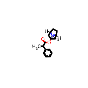 CC(C(=O)O[C@H]1C[C@H]2CC[C@@H](C1)N2C)c1ccccc1